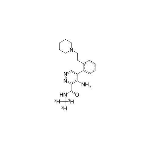 [2H]C([2H])([2H])NC(=O)c1nncc(-c2ccccc2CCN2CCCCC2)c1N